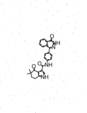 CC1(C)CCc2[nH]cc(C(=O)Nc3ccc(-c4n[nH]c(=O)c5ccccc45)cc3)c2C1=O